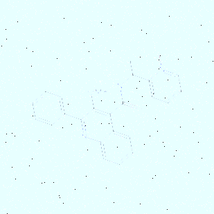 CCC(NC(=O)c1c(OC)c(-c2ccccc2)nc2ccccc12)c1cccc[n+]1[O-]